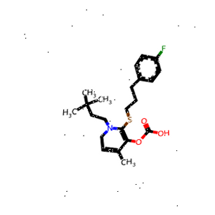 CC1=CCN(CCC(C)(C)C)C(SCCCc2ccc(F)cc2)=C1OC(=O)O